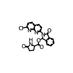 O=C1CCC(C(=O)OC2c3ccccc3C(=O)N2c2ccc3ccc(Cl)nc3n2)N1